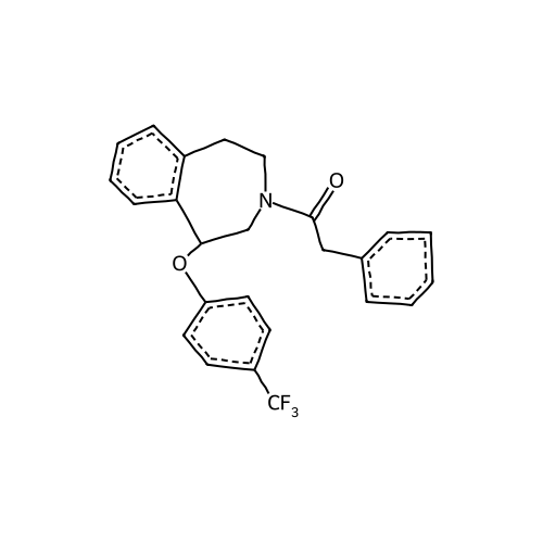 O=C(Cc1ccccc1)N1CCc2ccccc2C(Oc2ccc(C(F)(F)F)cc2)C1